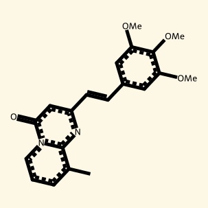 COc1cc(C=Cc2cc(=O)n3cccc(C)c3n2)cc(OC)c1OC